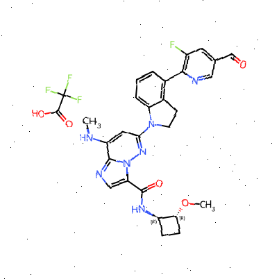 CNc1cc(N2CCc3c(-c4ncc(C=O)cc4F)cccc32)nn2c(C(=O)N[C@@H]3CC[C@H]3OC)cnc12.O=C(O)C(F)(F)F